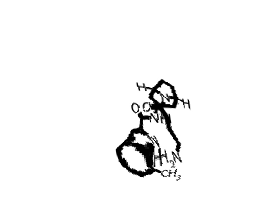 Cc1cccc2cc(C(=O)N[C@@H]3C[C@H]4CC[C@@H](C3)N4C(=O)CCCN)[nH]c12